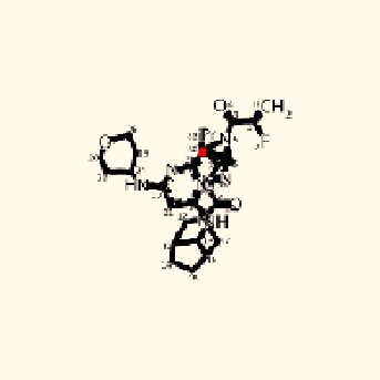 C=C(F)C(=O)N1CC(OC(=O)N2CC3CCC(C2)C3Nc2cc(NC3CCOCC3)nc3c(C(C)C)cnn23)C1